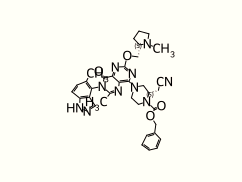 Cc1ccc2[nH]ncc2c1-n1c(C)nc2c(N3CCN(C(=O)OCc4ccccc4)[C@@H](CC#N)C3)nc(OC[C@@H]3CCCN3C)nc2c1=O